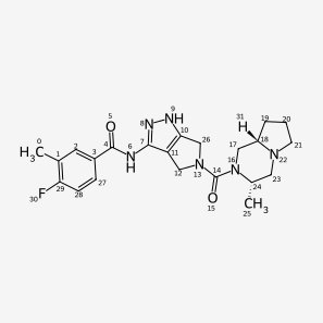 Cc1cc(C(=O)Nc2n[nH]c3c2CN(C(=O)N2C[C@@H]4CCCN4C[C@@H]2C)C3)ccc1F